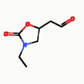 CCN1CC(CC=O)OC1=O